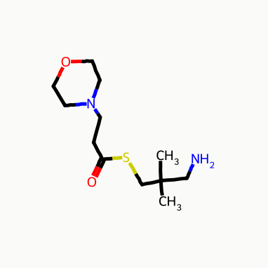 CC(C)(CN)CSC(=O)CCN1CCOCC1